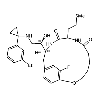 CCc1cccc(C2(NC[C@@H](O)[C@@H]3Cc4ccc(c(F)c4)OCCCCC(=O)NC(CCSC)C(=O)N3)CC2)c1